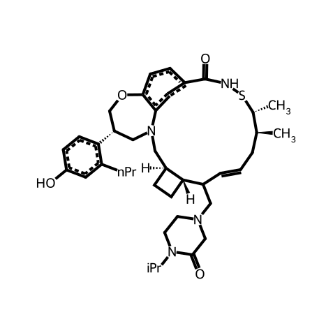 CCCc1cc(O)ccc1[C@@H]1COc2ccc3cc2N(C1)C[C@@H]1CC[C@H]1C(CN1CCN(C(C)C)C(=O)C1)/C=C/C[C@H](C)[C@@H](C)SNC3=O